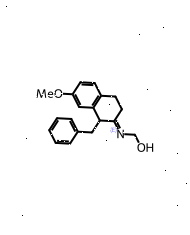 COc1ccc2c(c1)C(Cc1ccccc1)/C(=N/CO)CC2